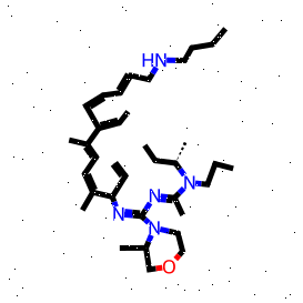 C=CC(/N=C(\N=C(/C)N(CCC)[C@@H](C)CC)N1CCOCC1C)/C(C)=C\C=C(/C)C(=CC)/C=C\C=C\CNCCCC